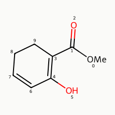 COC(=O)C1=C(O)C=CCC1